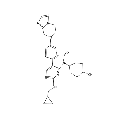 O=c1c2cc(N3CCn4ncnc4C3)ccc2c2cnc(NCC3CC3)nc2n1C1CCC(O)CC1